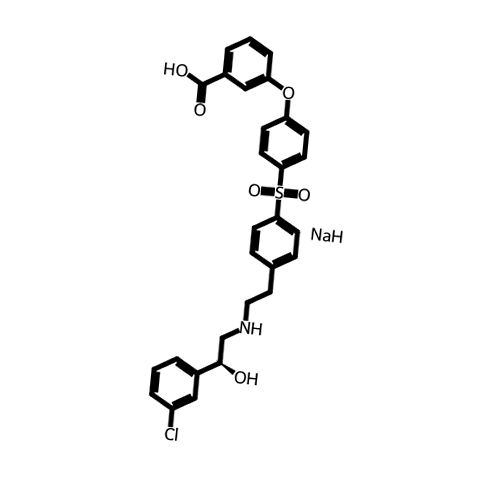 O=C(O)c1cccc(Oc2ccc(S(=O)(=O)c3ccc(CCNC[C@@H](O)c4cccc(Cl)c4)cc3)cc2)c1.[NaH]